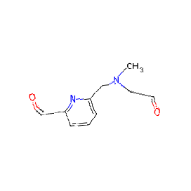 CN(CC=O)Cc1cccc(C=O)n1